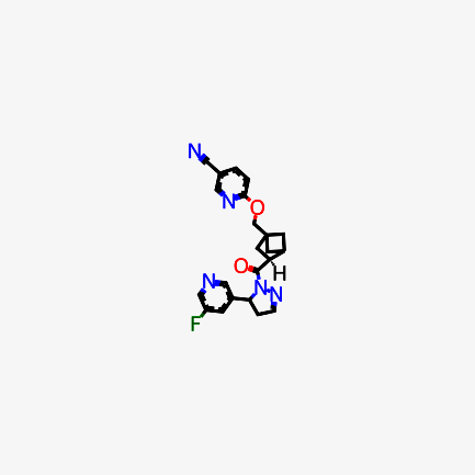 N#Cc1ccc(OCC23CC(C2)[C@@H](C(=O)N2N=CCC2c2cncc(F)c2)C3)nc1